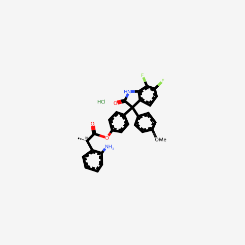 COc1ccc(C2(c3ccc(OC(=O)[C@@H](C)c4ccccc4N)cc3)C(=O)Nc3c2ccc(F)c3F)cc1.Cl